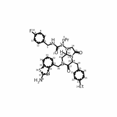 CCCN(C(=O)NCc1ccc(F)cc1)N1CC(=O)N2[C@@H](Cc3ccc(CC)cc3)C(=O)N(Cc3cccc4sc(N)nc34)C[C@@H]21